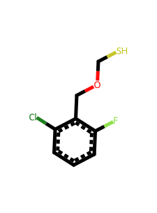 Fc1cccc(Cl)c1COCS